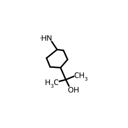 CC(C)(O)C1CCC([NH])CC1